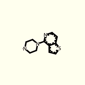 c1cc2sccc2c(N2CC[N]CC2)n1